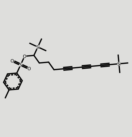 Cc1ccc(S(=O)(=O)OC(CCCC#CC#CC#C[Si](C)(C)C)[Si](C)(C)C)cc1